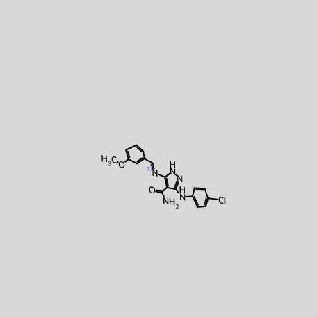 COc1cccc(/C=N/c2[nH]nc(Nc3ccc(Cl)cc3)c2C(N)=O)c1